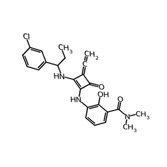 C=C=C1C(=O)C(Nc2cccc(C(=O)N(C)C)c2O)=C1NC(CC)c1cccc(Cl)c1